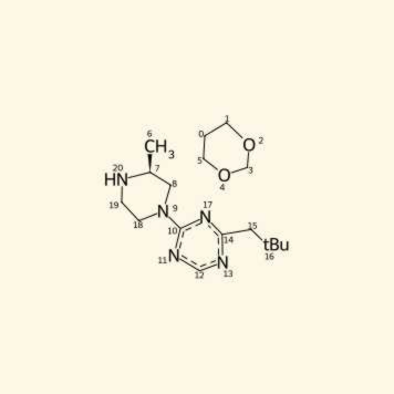 C1COCOC1.C[C@H]1CN(c2ncnc(CC(C)(C)C)n2)CCN1